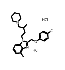 Cc1cccc2c1nc(COc1ccc(Cl)cc1)n2CCC(C)CN1CCCCC1.Cl.Cl